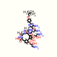 Cc1nc(-c2ccc(OCCC(C)(C)C)cc2)nc(N)c1C(=O)N[C@@H](CCN)C(=O)N(C)[C@@H]1C(=O)N[C@@H](C)C(=O)N[C@H](C(=O)O)Cc2ccc(OC[C@H](O)CN)c(c2)-c2cc1cc(OC[C@H](O)CN)c2O